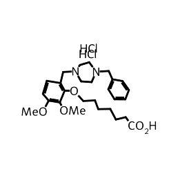 COc1ccc(CN2CCN(Cc3ccccc3)CC2)c(OCCCCCCC(=O)O)c1OC.Cl.Cl